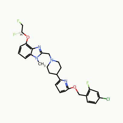 Cn1c(CN2CCC(c3cccc(OCc4ccc(Cl)cc4F)n3)CC2)nc2c(O[C@H](F)CF)cccc21